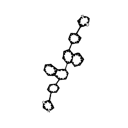 c1ccc2c(-c3ccc(-c4ccc(-c5cnco5)cc4)c4ccccc34)ccc(-c3ccc(-c4cnco4)cc3)c2c1